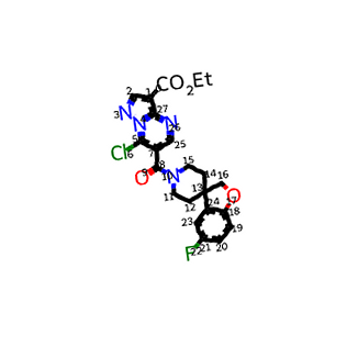 CCOC(=O)c1cnn2c(Cl)c(C(=O)N3CCC4(CC3)COc3ccc(F)cc34)cnc12